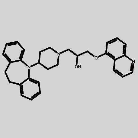 OC(COc1cccc2ncccc12)CN1CCC(N2c3ccccc3CCc3ccccc32)CC1